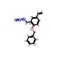 C=Cc1ccc(OCc2ccccc2)c(CN=[N+]=[N-])c1